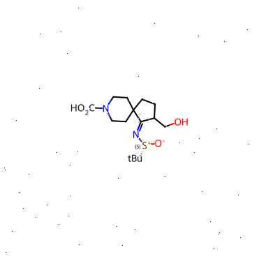 CC(C)(C)[S@@+]([O-])N=C1C(CO)CCC12CCN(C(=O)O)CC2